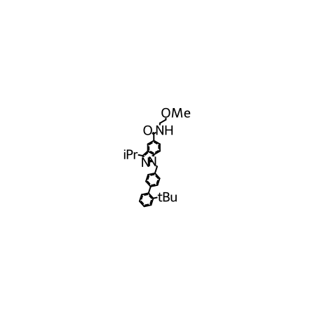 COCCNC(=O)c1ccc2c(c1)c(C(C)C)nn2Cc1ccc(-c2ccccc2C(C)(C)C)cc1